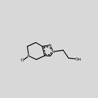 OCCn1cc2c(n1)CCN(Cl)C2